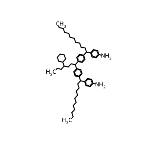 CCCCCCCCCCCC(c1ccc(N)cc1)c1ccc(C(CCC(CCC)C2CCCCC2)c2ccc(C(CCCCCCCCCCC)c3ccc(N)cc3)cc2)cc1